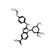 CCOc1ccc(Nc2nc3cc(C(=O)O)ccc3n2C2CC(C)CC(C)(C)C2)cc1